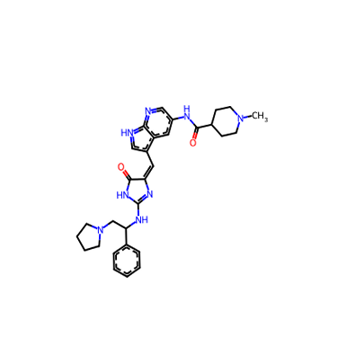 CN1CCC(C(=O)Nc2cnc3[nH]cc(/C=C4/N=C(NC(CN5CCCC5)c5ccccc5)NC4=O)c3c2)CC1